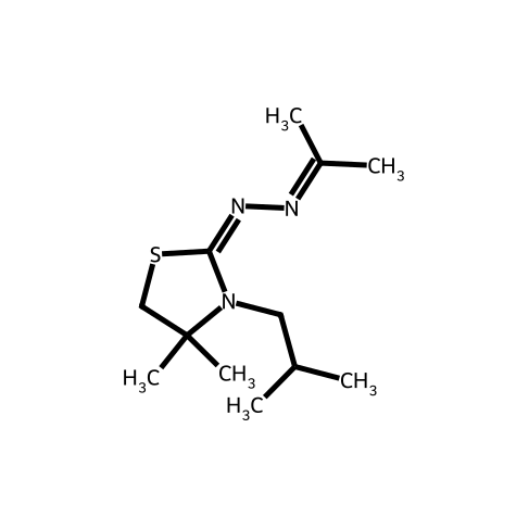 CC(C)=NN=C1SCC(C)(C)N1CC(C)C